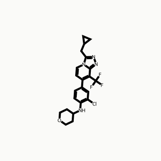 FC(F)(F)c1c(-c2ccc(NC3CCOCC3)c(Cl)c2)ccn2c(CC3CC3)nnc12